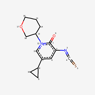 O=c1c(N=C=S)cc(C2CC2)cn1C1CCCOC1